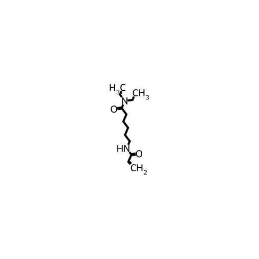 C=CC(=O)NCCCCCC(=O)N(CC)CC